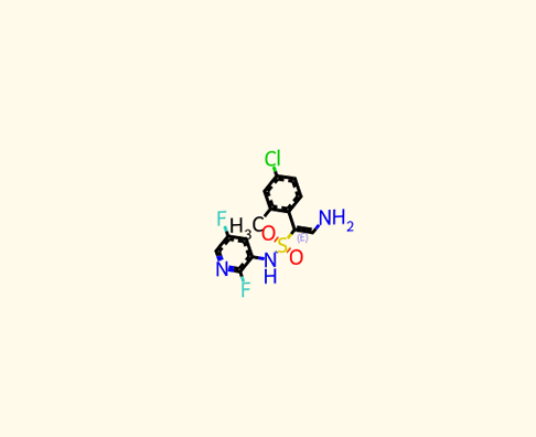 Cc1cc(Cl)ccc1/C(=C\N)S(=O)(=O)Nc1cc(F)cnc1F